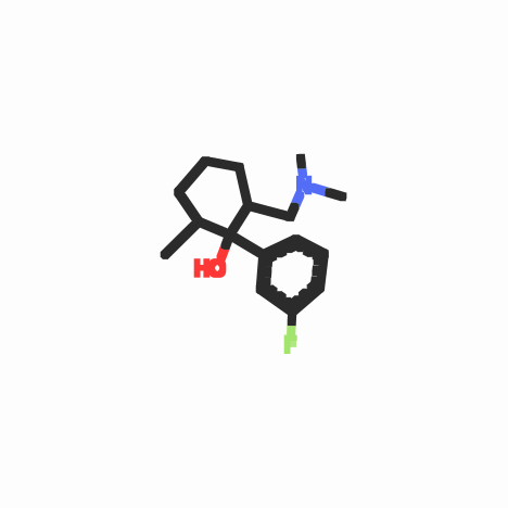 CC1CCCC(CN(C)C)C1(O)c1cccc(F)c1